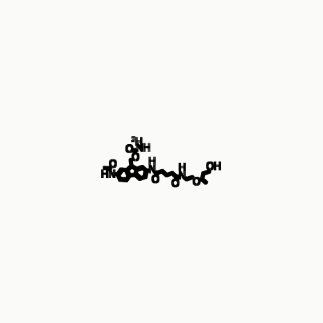 [2H]NC(=O)OCC1c2cc(NC(C)=O)ccc2-c2ccc(NC(=O)CCCC(=O)NCCOC(C)CCO)cc21